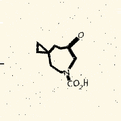 O=C1CN(C(=O)O)CC2(CC2)C1